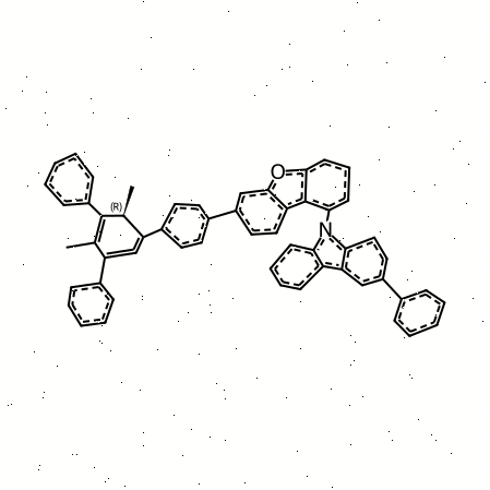 CC1=C(c2ccccc2)[C@@H](C)C(c2ccc(-c3ccc4c(c3)oc3cccc(-n5c6ccccc6c6cc(-c7ccccc7)ccc65)c34)cc2)=C=C1c1ccccc1